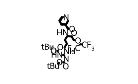 CC(C)(C)OC(=O)N=C(NCCCC(NC(=O)c1cccnc1)C(=O)COC(C(F)(F)F)C(F)(F)F)NC(=O)OC(C)(C)C